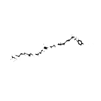 O=C(CC[C@H](NOc1ccc(C(=O)O)cc1)C(=O)O)NCCOCCOCC(=O)NCCOCCOCC(=O)NCCCC[C@H](NF)C(=O)I